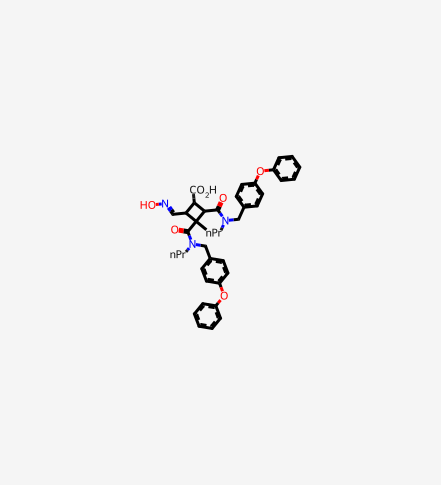 CCCN(Cc1ccc(Oc2ccccc2)cc1)C(=O)C1C(C(=O)O)C(C=NO)C1(C)C(=O)N(CCC)Cc1ccc(Oc2ccccc2)cc1